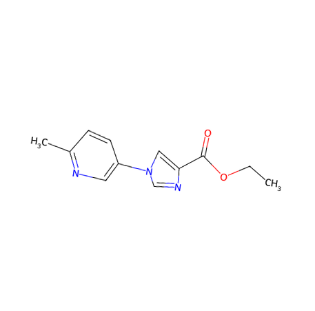 CCOC(=O)c1cn(-c2ccc(C)nc2)cn1